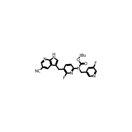 CC(C)(C)OC(=O)N(Cc1cncc(F)c1)c1ccc(Cc2c[nH]c3ncc(C#N)cc23)c(F)n1